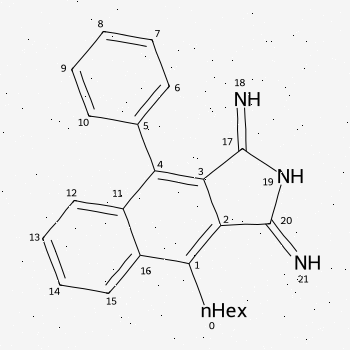 CCCCCCc1c2c(c(-c3ccccc3)c3ccccc13)C(=N)NC2=N